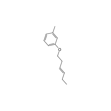 CCC=CCCOc1cccc(C)c1